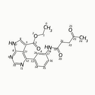 CCOC(=O)c1c[nH]c2ncnc(-c3cccc(NC(=O)CCC(C)=O)c3)c12